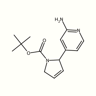 CC(C)(C)OC(=O)N1CC=CC1c1ccnc(N)c1